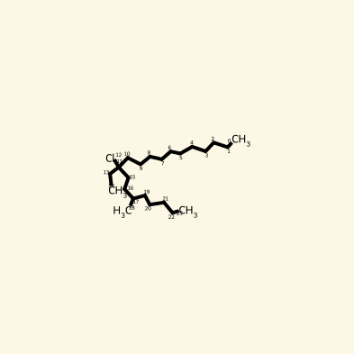 CCCCCCCCCCCC(Cl)(CC)CCC(C)CCCCC